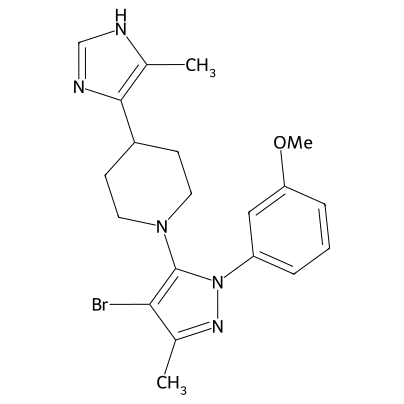 COc1cccc(-n2nc(C)c(Br)c2N2CCC(c3nc[nH]c3C)CC2)c1